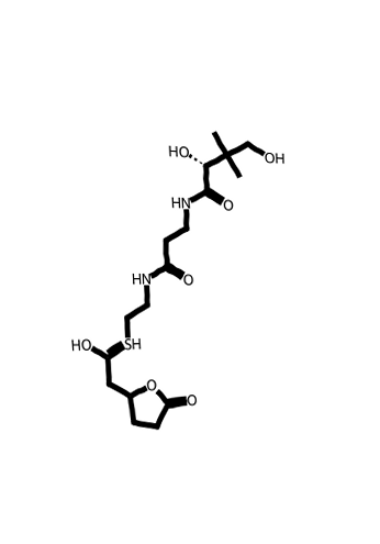 CC(C)(CO)[C@@H](O)C(=O)NCCC(=O)NCC[SH]=C(O)CC1CCC(=O)O1